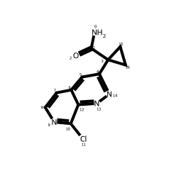 NC(=O)C1(c2cc3ccnc(Cl)c3nn2)CC1